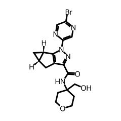 O=C(NC1(CO)CCOCC1)c1nn(-c2cnc(Br)cn2)c2c1C[C@@H]1C[C@H]21